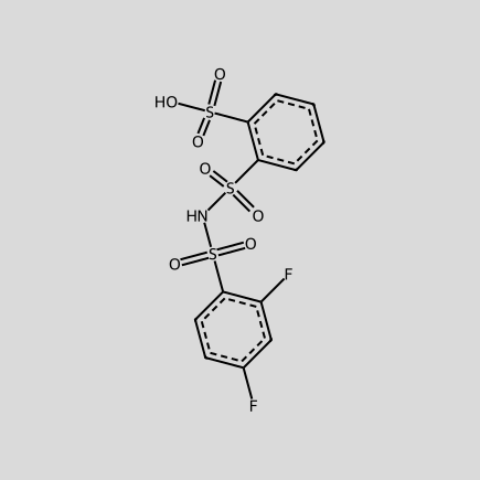 O=S(=O)(O)c1ccccc1S(=O)(=O)NS(=O)(=O)c1ccc(F)cc1F